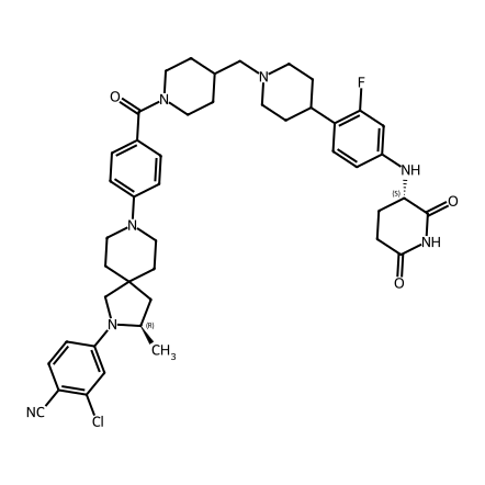 C[C@@H]1CC2(CCN(c3ccc(C(=O)N4CCC(CN5CCC(c6ccc(N[C@H]7CCC(=O)NC7=O)cc6F)CC5)CC4)cc3)CC2)CN1c1ccc(C#N)c(Cl)c1